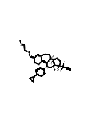 C#CC(F)(F)[C@]1(O)CC[C@H]2[C@@H]3CCC4=C/C(=N\OCCOC)CCC4=C3[C@@H](c3ccc(C4CC4)cc3)C[C@@]21C